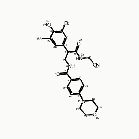 CCc1cc(C(CNC(=O)c2ccc(N3CCOCC3)cc2)C(=O)NCC#N)cc(I)c1O